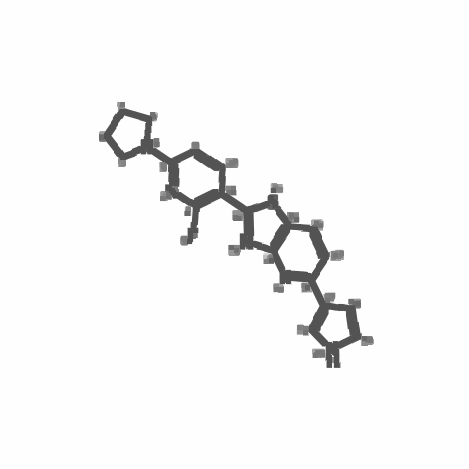 Fc1nc(N2CCCC2)ccc1-c1nc2nc(-c3cc[nH]c3)ccc2s1